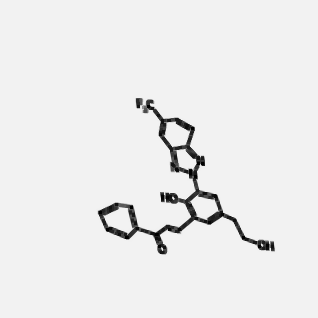 O=C(C=Cc1cc(CCO)cc(-n2nc3ccc(C(F)(F)F)cc3n2)c1O)c1ccccc1